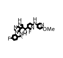 COc1ccc(Nc2ccc(C(=O)c3c[nH]c4ncnc(N[C@H](C)c5ccc(F)cc5)c34)c(F)n2)cn1